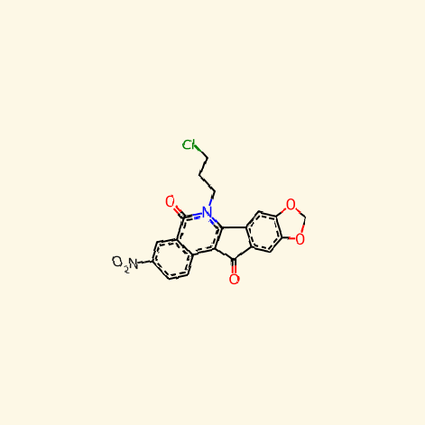 O=C1c2cc3c(cc2-c2c1c1ccc([N+](=O)[O-])cc1c(=O)n2CCCCl)OCO3